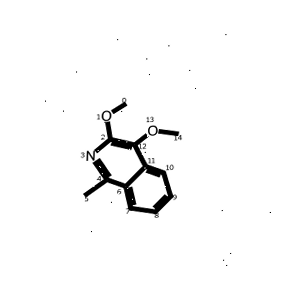 COc1nc(C)c2ccccc2c1OC